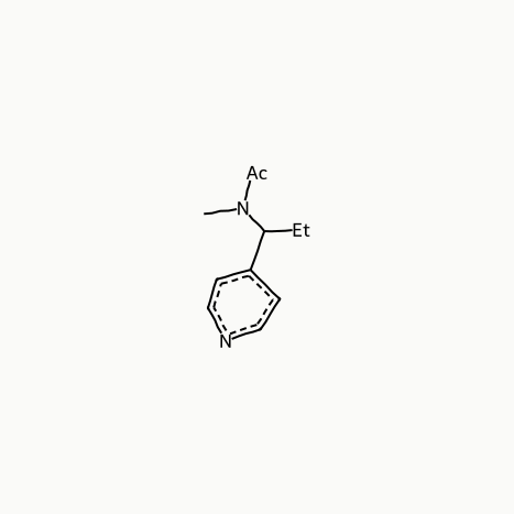 CCC(c1ccncc1)N(C)C(C)=O